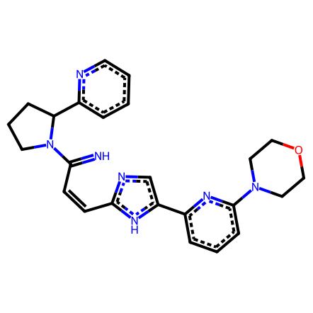 N=C(/C=C\c1ncc(-c2cccc(N3CCOCC3)n2)[nH]1)N1CCCC1c1ccccn1